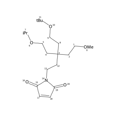 COCCC(CCOC(C)C)(CCOC(C)(C)C)CCN1C(=O)C=CC1=O